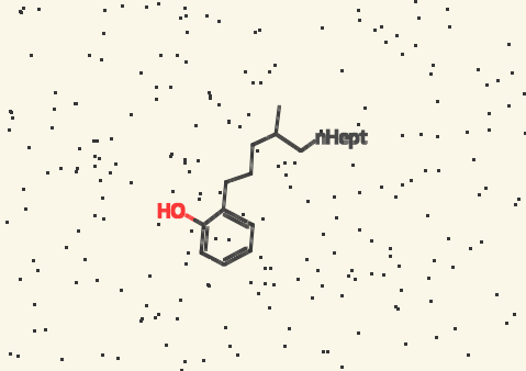 CCCCCCCCC(C)CCCc1ccccc1O